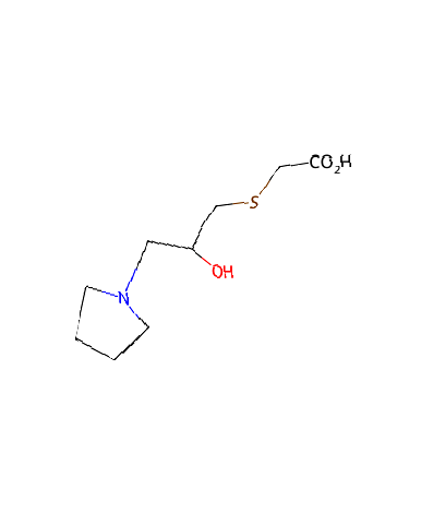 O=C(O)CSCC(O)CN1CCCC1